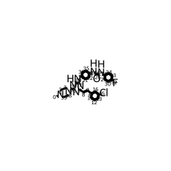 CN1CCN(c2nc(/C=C/c3cccc(Cl)c3)nc(Nc3ccc(NC(=O)Nc4ccc(F)cc4)cc3)n2)CC1